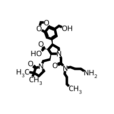 CCCCN(CCCN)C(=O)CN1C[C@H](c2cc(CO)c3c(c2)OCO3)[C@@H](C(=O)O)[C@@H]1CCN1CCC(C)(C)C1=O